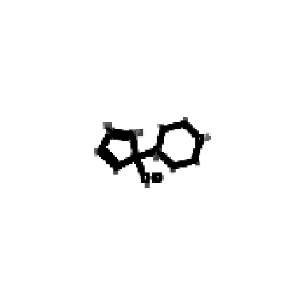 O=CC1(N2CCOCC2)C=CN=N1